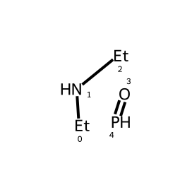 CCNCC.O=P